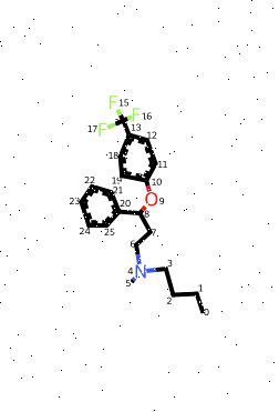 CCCCN(C)CCC(Oc1ccc(C(F)(F)F)cc1)c1ccccc1